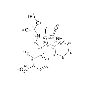 CC(C)(C)OC(=O)N1CC(c2cccc(C(=O)O)c2F)[C@@H](C2CCCCC2)[C@@]1(C)C(N)=O